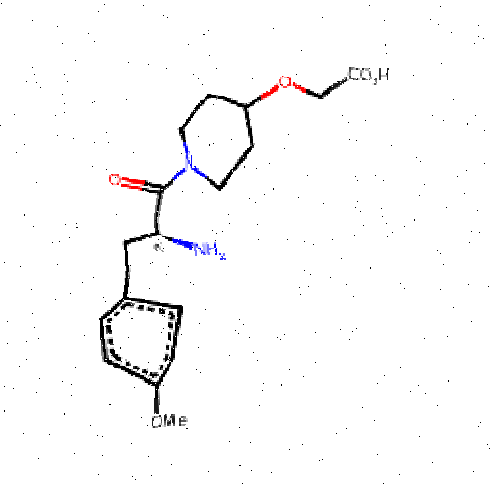 COc1ccc(C[C@H](N)C(=O)N2CCC(OCC(=O)O)CC2)cc1